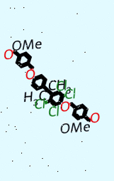 COC(=O)c1ccc(COc2ccc(C(C)(C)c3c(Cl)c(Cl)c(OCc4ccc(C(=O)OC)cc4)c(Cl)c3Cl)cc2)cc1